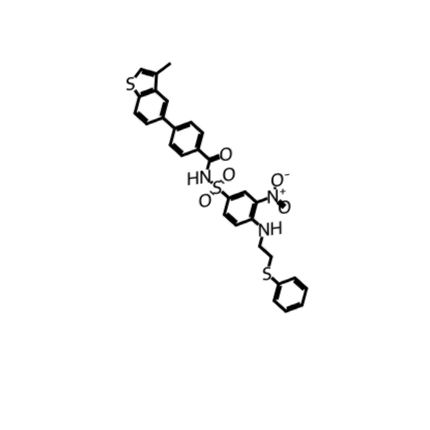 Cc1csc2ccc(-c3ccc(C(=O)NS(=O)(=O)c4ccc(NCCSc5ccccc5)c([N+](=O)[O-])c4)cc3)cc12